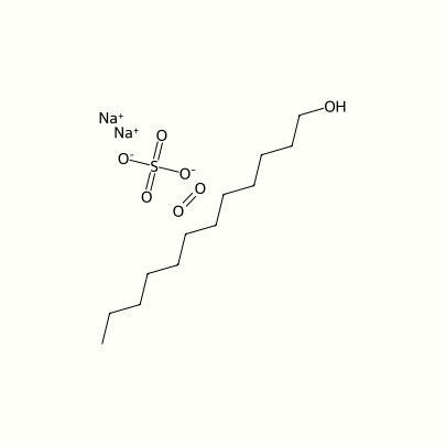 CCCCCCCCCCCCO.O=O.O=S(=O)([O-])[O-].[Na+].[Na+]